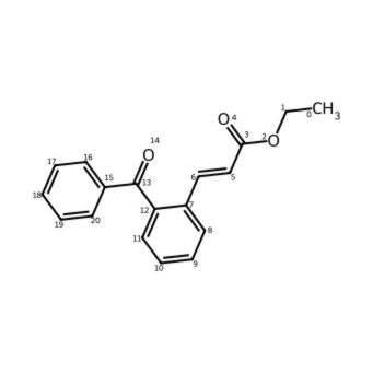 CCOC(=O)C=Cc1ccccc1C(=O)c1ccccc1